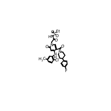 CCS(=O)(=O)NC(=O)Cn1cc(C(=O)N2CCC(c3ccc(F)cc3)CC2)c(Nc2cc(C)ccc2Cl)cc1=O